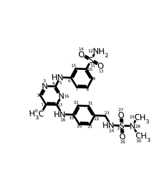 Cc1cnc(Nc2cccc(S(N)(=O)=O)c2)nc1Nc1ccc(CNS(=O)(=O)N(C)C)cc1